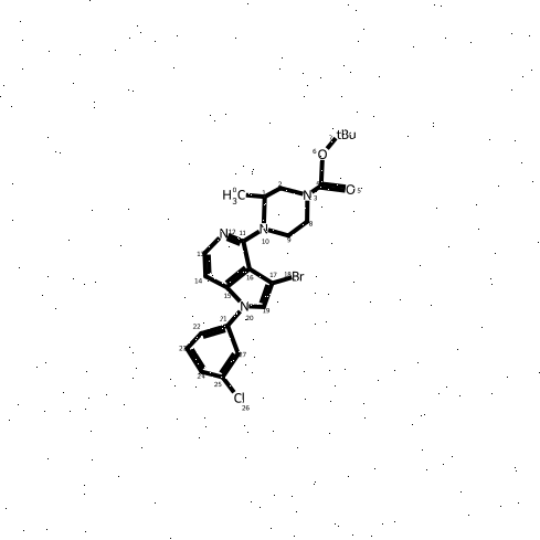 CC1CN(C(=O)OC(C)(C)C)CCN1c1nccc2c1c(Br)cn2-c1cccc(Cl)c1